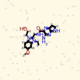 CCn1c(CNC(=O)c2nc3cc[nH]c3nc2N)[n+](CCO)c2ccc(OC)cc21